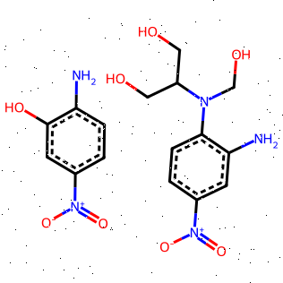 Nc1cc([N+](=O)[O-])ccc1N(CO)C(CO)CO.Nc1ccc([N+](=O)[O-])cc1O